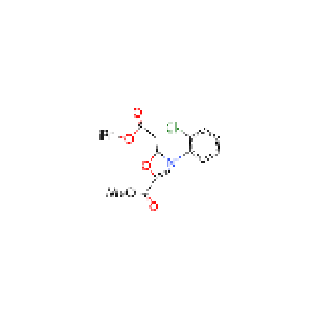 COC(=O)C1=CN(c2ccccc2Cl)C(CC(=O)OC(C)C)O1